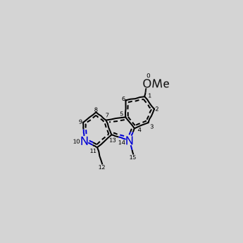 COc1ccc2c(c1)c1ccnc(C)c1n2C